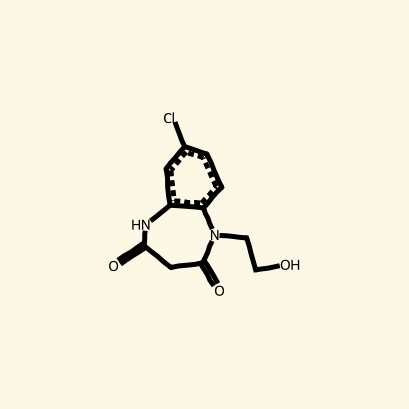 O=C1CC(=O)N(CCO)c2ccc(Cl)cc2N1